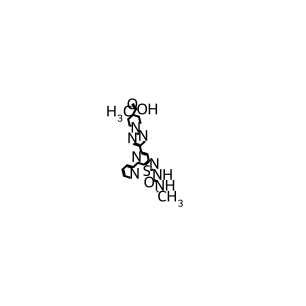 CCNC(=O)Nc1nc2cc(-c3cnc(N4CCC(C)(C(=O)O)CC4)nc3)nc(-c3ccccn3)c2s1